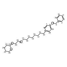 c1ccc(COc2ccc(CCCCCCCCOCCOC3CCCCO3)cc2)cc1